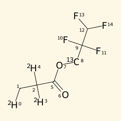 [2H]CC([2H])([2H])C(=O)O[13CH2]C(F)(F)C(F)F